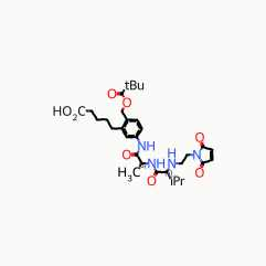 CC(C)[C@H](NCCN1C(=O)C=CC1=O)C(=O)N[C@@H](C)C(=O)Nc1ccc(COC(=O)C(C)(C)C)c(CCCCC(=O)O)c1